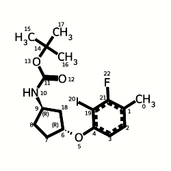 Cc1ccc(O[C@@H]2CC[C@@H](NC(=O)OC(C)(C)C)C2)c(I)c1F